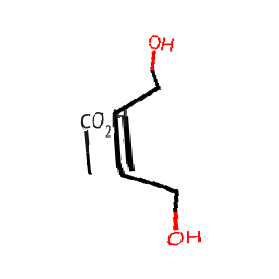 CC(=O)O.OC/C=C\CO